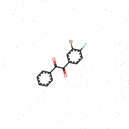 O=C(C(=O)c1ccc(F)c(Br)c1)c1ccccc1